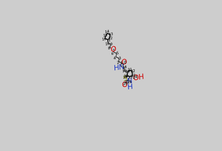 O=C(CCCCCOCCCc1ccccc1)NCCc1ccc(O)c2[nH]c(=O)sc12